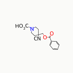 N#CC1(COC(=O)c2ccccc2)CCN(C(=O)O)CC1